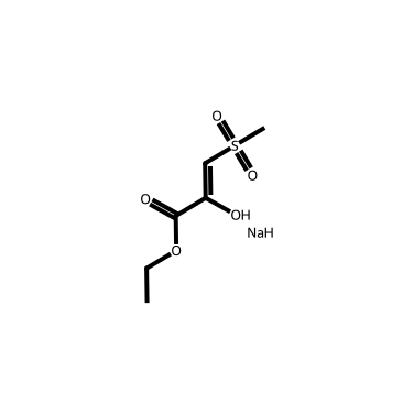 CCOC(=O)C(O)=CS(C)(=O)=O.[NaH]